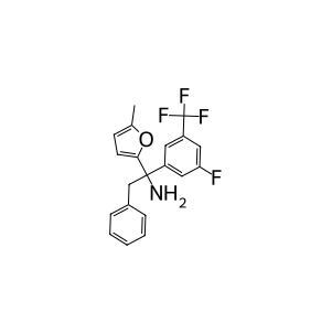 Cc1ccc(C(N)(Cc2ccccc2)c2cc(F)cc(C(F)(F)F)c2)o1